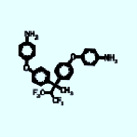 CC(c1ccc(Oc2ccc(N)cc2)cc1)(c1ccc(Oc2ccc(N)cc2)cc1)C(C(F)(F)F)C(F)(F)F